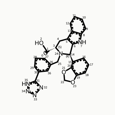 O=C(O)[C@@H]1Cc2c([nH]c3ccccc23)[C@@H](c2cccc3c2OCO3)N1Cc1cccc(-c2nnn[nH]2)c1